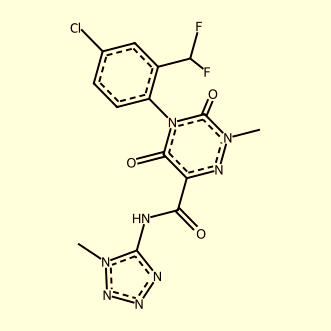 Cn1nnnc1NC(=O)c1nn(C)c(=O)n(-c2ccc(Cl)cc2C(F)F)c1=O